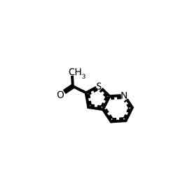 CC(=O)c1cc2cccnc2s1